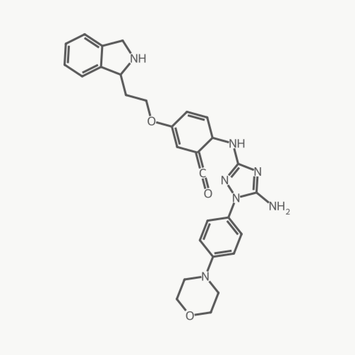 Nc1nc(NC2C=CC(OCCC3NCc4ccccc43)=CC2=C=O)nn1-c1ccc(N2CCOCC2)cc1